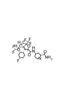 C[C@H]1[C@@H](c2ccc(F)cc2OC(F)F)[C@H](C(=O)Nc2ccnc(C(N)=O)c2)O[C@]1(C)C(F)(F)F